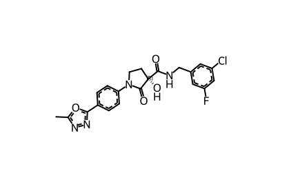 Cc1nnc(-c2ccc(N3CC[C@@](O)(C(=O)NCc4cc(F)cc(Cl)c4)C3=O)cc2)o1